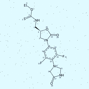 CCOC(=S)NC[C@@H]1CN(c2cc(F)c(N3CNC(=O)C3)c(F)c2)C(=O)O1